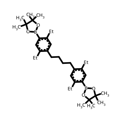 CCc1cc(B2OC(C)(C)C(C)(C)O2)c(CC)cc1CCCCc1cc(CC)c(B2OC(C)(C)C(C)(C)O2)cc1CC